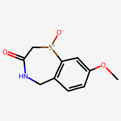 COc1ccc2c(c1)[S+]([O-])CC(=O)NC2